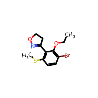 CCOc1c(Br)ccc(SC)c1C1=NOCC1